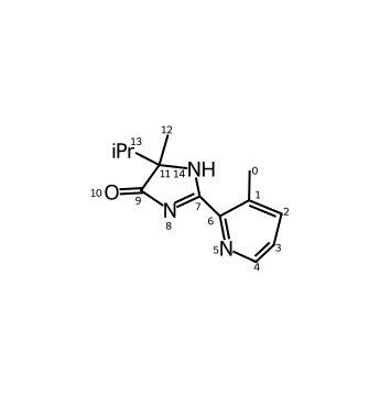 Cc1cccnc1C1=NC(=O)C(C)(C(C)C)N1